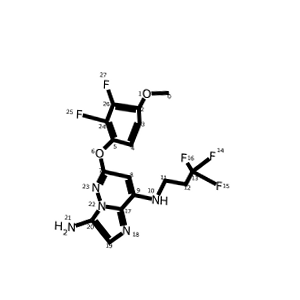 COc1ccc(Oc2cc(NCCC(F)(F)F)c3ncc(N)n3n2)c(F)c1F